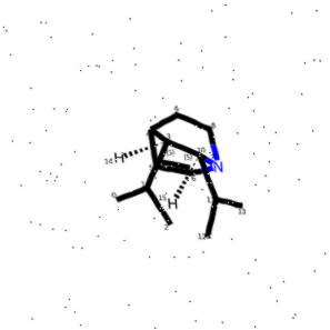 CC(C)[C@H]1C2C=CN(CC2)[C@H]1C(C)C